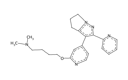 CN(C)CCCCOc1cc(-c2c(-c3ccccn3)nn3c2CCC3)ccn1